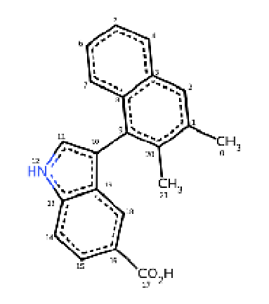 Cc1cc2ccccc2c(-c2c[nH]c3ccc(C(=O)O)cc23)c1C